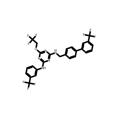 FC(F)(F)COc1nc(NCc2ccc(-c3cccc(C(F)(F)F)c3)cc2)nc(Nc2cccc(C(F)(F)F)c2)n1